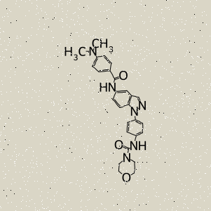 CN(C)c1ccc(C(=O)Nc2ccc3c(cnn3-c3ccc(NC(=O)N4CCOCC4)cc3)c2)cc1